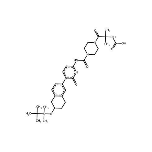 CC(C)(NC(=O)O)C(=O)N1CCN(C(=O)Nc2ccn(-c3ccc4c(c3)CCC(O[Si](C)(C)C(C)(C)C)C4)c(=O)n2)CC1